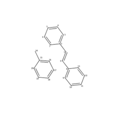 C(=Cc1ccccc1)c1ccccc1.Cc1ccccc1